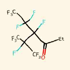 CCC(=O)C(F)(C(F)(F)C(F)(F)F)C(F)(C(F)(F)F)C(F)(F)F